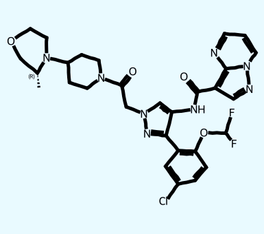 C[C@@H]1COCCN1C1CCN(C(=O)Cn2cc(NC(=O)c3cnn4cccnc34)c(-c3cc(Cl)ccc3OC(F)F)n2)CC1